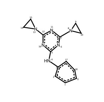 c1ccc(Nc2nc(N3CC3)nc(N3CC3)n2)cc1